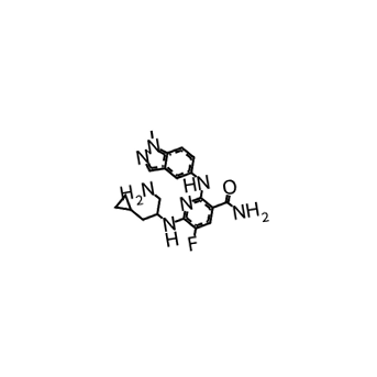 Cn1ncc2cc(Nc3nc(NC(CN)CC4CC4)c(F)cc3C(N)=O)ccc21